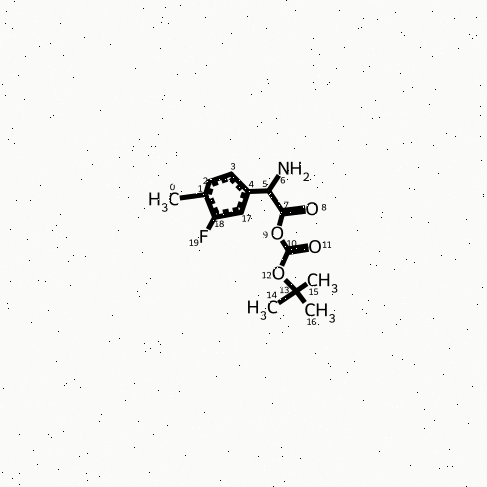 Cc1ccc(C(N)C(=O)OC(=O)OC(C)(C)C)cc1F